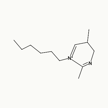 CCCCCC[N+]1=CC(C)CN=C1C